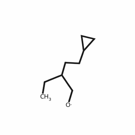 CCC(C[O])CCC1CC1